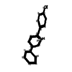 N#CC1CCC(C2CCC(C3CCCCC3)CN2)CC1